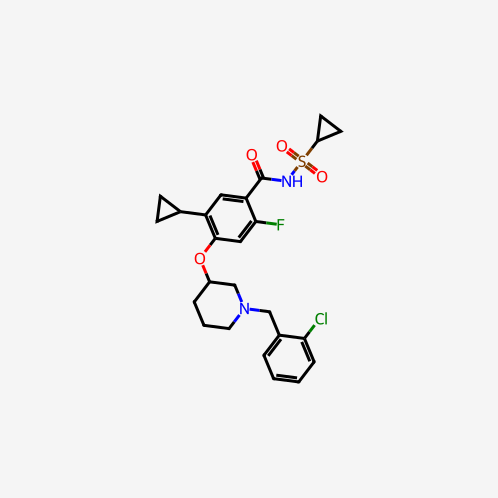 O=C(NS(=O)(=O)C1CC1)c1cc(C2CC2)c(OC2CCCN(Cc3ccccc3Cl)C2)cc1F